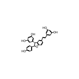 Oc1ccc(C2Oc3ccc(/C=C/c4cc(O)cc(O)c4)cc3[C@@H]2c2cc(O)cc(O)c2)cc1